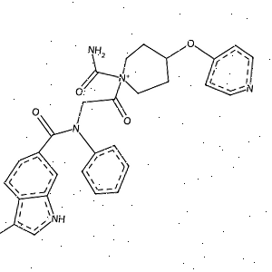 NC(=O)[N+]1(C(=O)CN(C(=O)c2ccc3c(Cl)c[nH]c3c2)c2ccccc2)CCC(Oc2ccncc2)CC1